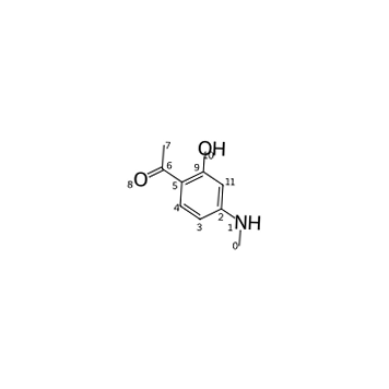 CNc1ccc(C(C)=O)c(O)c1